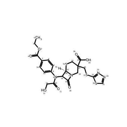 CCOC(=O)c1ccc(N(C(=O)CO)C2C(=O)N3CC(CSc4nncs4)(C(=O)O)CS[C@H]23)cc1